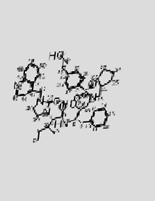 CC[C@H](C)[C@@H](C(=O)N[C@@H](Cc1ccccc1)[C@@H](O)CN(CC1CCCC1)S(=O)(=O)c1ccc(C=NO)cc1)N1CCN(Cc2ccnc3ccccc23)C1=O